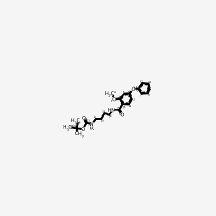 COc1cc(Oc2ccccc2)ccc1C(=O)NCCCCNC(=O)OC(C)(C)C